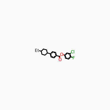 CCC1CCC(c2ccc(C(=O)Oc3ccc(F)c(Cl)c3)cc2)CC1